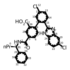 CCC[C@@H](NC(=O)c1ccc(-c2cc(Cl)ccc2-c2nc3cc(Cl)ccc3[nH]2)c(C(=O)O)c1)c1ccccc1